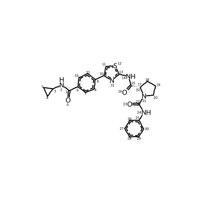 O=C(NC1CC1)c1ccc(-c2csc(NC(=O)[C@@H]3CCCN3C(=O)Nc3ccccc3)n2)cc1